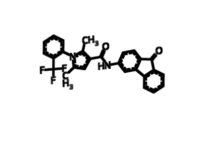 Cc1cc(C(=O)Nc2ccc3c(c2)-c2ccccc2C3=O)c(C)n1-c1ccccc1C(F)(F)F